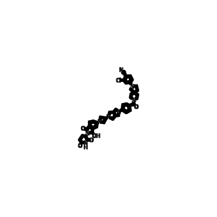 N#Cc1ccc(N2CCC3(CCN(C(=O)c4ccc(N5CC6CN(C7CN(c8ccc9c(c8)C(O)N(C8CCC(=O)NC8=O)C9=O)C7)CC6C5)cc4)CC3)C2)cc1Cl